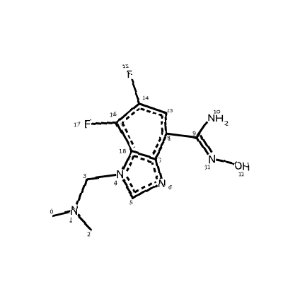 CN(C)Cn1cnc2c(C(N)=NO)cc(F)c(F)c21